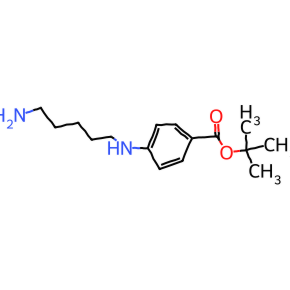 CC(C)(C)OC(=O)c1ccc(NCCCCCN)cc1